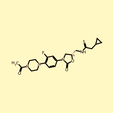 CC(=O)N1CCN(c2ccc(N3C[C@H](CNC(=S)CC4CC4)OC3=O)cc2F)CC1